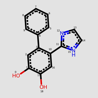 Oc1cc(-c2ccccc2)c(-c2ncc[nH]2)cc1O